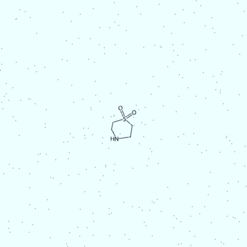 O=S1(=O)[CH]CNCC1